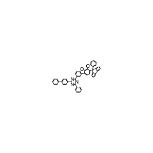 c1ccc(-c2ccc(-c3nc(-c4ccccc4)nc(-c4ccc5oc6c7c(ccc6c5c4)C4(c5ccccc5O7)c5ccccc5-c5ccccc54)n3)cc2)cc1